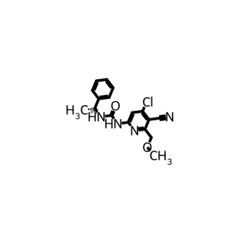 COCc1nc(NC(=O)N[C@H](C)c2ccccc2)cc(Cl)c1C#N